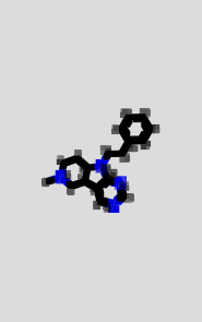 CN1CCC2C(C1)c1cncnc1N2CCc1ccccc1